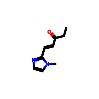 CCC(=O)/C=C/c1nccn1C